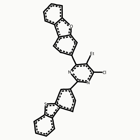 CCc1c(Cl)nc(-c2ccc3c(c2)sc2ccccc23)nc1-c1ccc2c(c1)oc1ccccc12